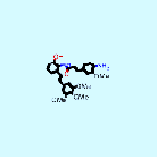 COc1cc(/C=C/C(=O)Nc2c(O)cccc2C=Cc2cc(OC)c(OC)c(OC)c2)ccc1N